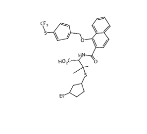 CCC1CCC(SC(C)(C)C(NC(=O)c2ccc3ccccc3c2OCc2ccc(SC(F)(F)F)cc2)C(=O)O)C1